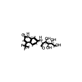 O=C[C@H](Nc1ccc2c(C(F)(F)F)cc(=O)[nH]c2c1)[C@@H](O)[C@H](O)[C@H](O)CO